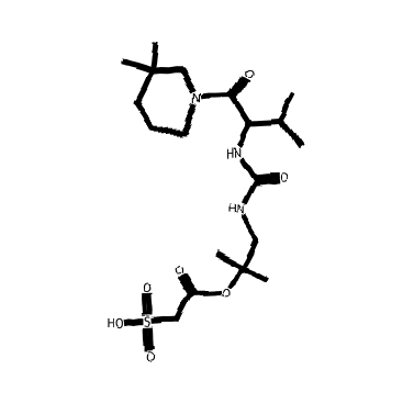 CC(C)C(NC(=O)NCC(C)(C)OC(=O)CS(=O)(=O)O)C(=O)N1CCCC(C)(C)C1